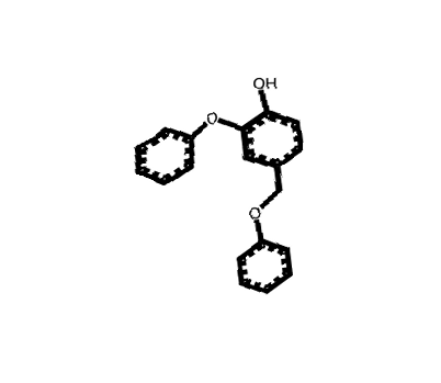 Oc1ccc(COc2ccccc2)cc1Oc1ccccc1